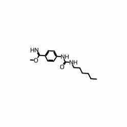 CCCCCCNC(=O)Nc1ccc(C(=N)OC)cc1